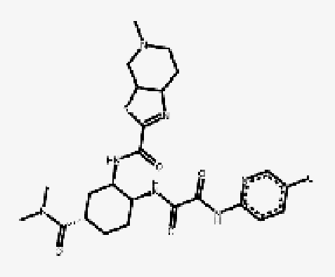 CN1CCC2N=C(C(=O)N[C@@H]3C[C@@H](C(=O)N(C)C)CC[C@@H]3NC(=O)C(=O)Nc3ccc(Cl)cn3)SC2C1